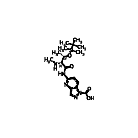 CN[C@@H](C(=O)Nc1ccc2c(cnn2C(=O)O)n1)[C@H](C)O[Si](C)(C)C(C)(C)C